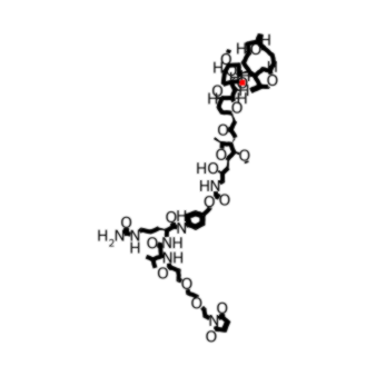 C=C1C[C@@H]2CC([C@]34C[C@@H](OC)[C@H](O3)C3O[C@H]5CC[C@H](CC(=O)C[C@@H]6[C@@H](OC)[C@@H](C[C@H](O)CNC(=O)OCc7ccc(NC(=O)[C@H](CCCNC(N)=O)NC(=O)[C@@H](NC(=O)CCOCCOCCN8C(=O)C=CC8=O)C(C)C)cc7)O[C@H]6C)O[C@@H]5[C@H](O4)[C@@H]3C)[C@@H]3C[C@H](CC[C@@H]1O2)OCC3=C